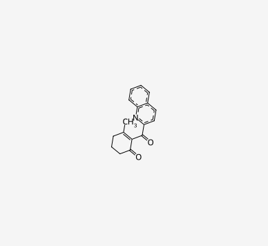 CC1=C(C(=O)c2ccc3ccccc3n2)C(=O)CCC1